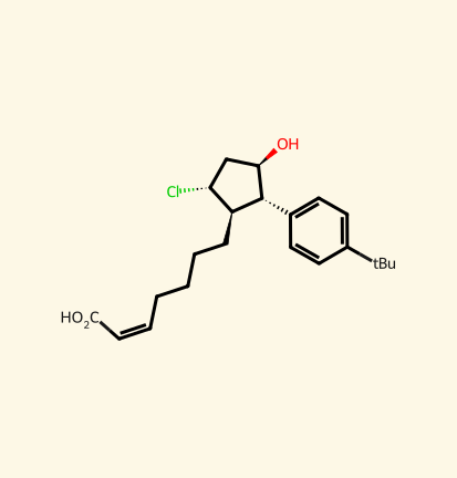 CC(C)(C)c1ccc([C@@H]2[C@@H](CCCC/C=C\C(=O)O)[C@H](Cl)C[C@H]2O)cc1